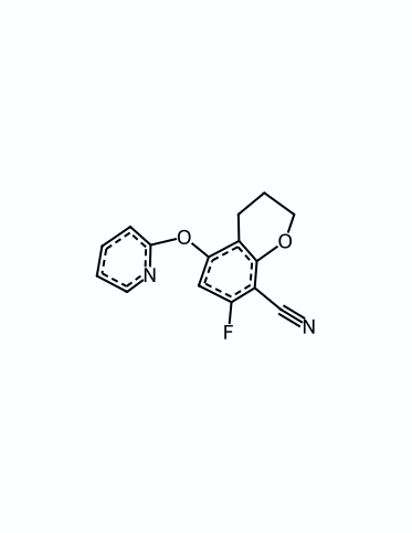 N#Cc1c(F)cc(Oc2ccccn2)c2c1OCCC2